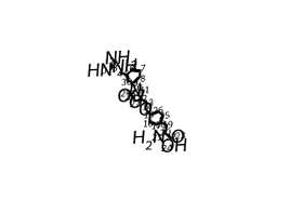 N=C(N)NCc1cccc(N2CC(COc3ccc(CC(N)C(=O)O)cc3)OC2=O)c1